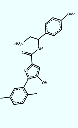 COc1ccc(C(CC(=O)O)NC(=O)c2cc(O)n(-c3cc(C)ccc3C)n2)cc1